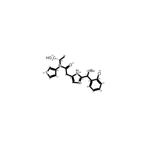 CCCCC(c1ncc(CC(=O)N(c2ccsc2)[C@@H](C)C(=O)O)[nH]1)c1ccccc1Cl